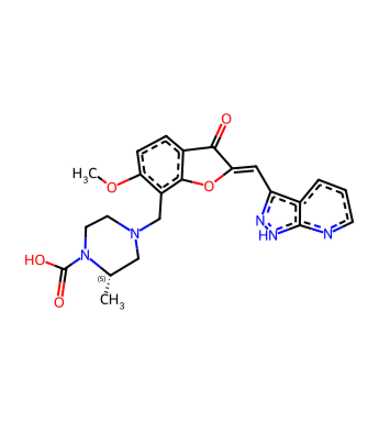 COc1ccc2c(c1CN1CCN(C(=O)O)[C@@H](C)C1)OC(=Cc1n[nH]c3ncccc13)C2=O